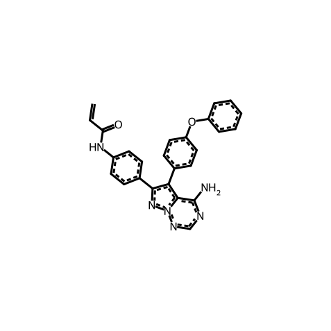 C=CC(=O)Nc1ccc(-c2nn3ncnc(N)c3c2-c2ccc(Oc3ccccc3)cc2)cc1